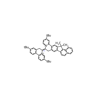 CC(C)(C)c1ccc2c(c1)C/C(=C1/Cc3cc4c(cc3-c3cc(C(C)(C)C)cc[n+]31)C(C)(C)c1c-4ccc3ccccc13)[n+]1cc(C(C)(C)C)ccc1-2